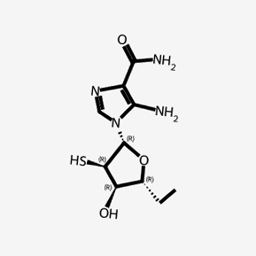 CC[C@H]1O[C@@H](n2cnc(C(N)=O)c2N)[C@H](S)[C@@H]1O